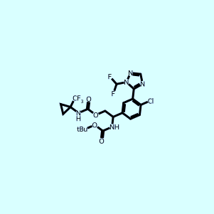 CC(C)(C)OC(=O)NC(COC(=O)NC1(C(F)(F)F)CC1)c1ccc(Cl)c(-c2ncnn2C(F)F)c1